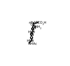 CCCN(CCCNC(=O)O)C(=O)C1=Cc2ccc(C(=O)Nc3ccc(N4CCC(C(=O)NCCNC(C)=O)CC4)nc3)cc2N=C(N)C1